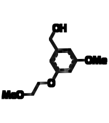 COCCOc1cc(CO)cc(OC)c1